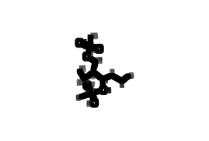 CCCC(OS(C)(=O)=O)C(CC)COS(C)(=O)=O